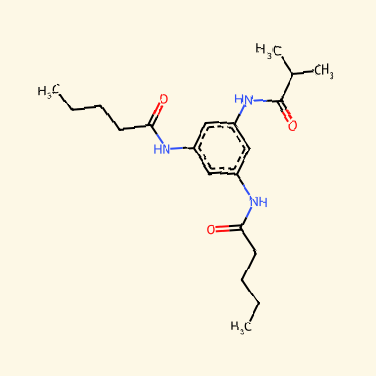 CCCCC(=O)Nc1cc(NC(=O)CCCC)cc(NC(=O)C(C)C)c1